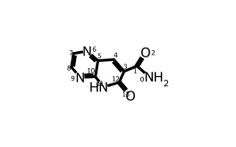 NC(=O)c1cc2nccnc2[nH]c1=O